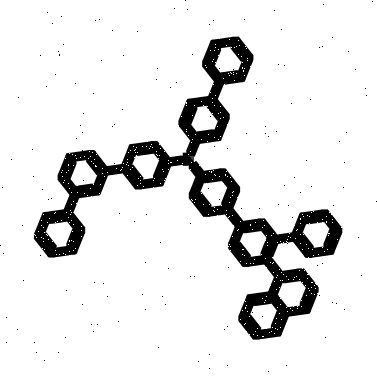 c1ccc(-c2ccc(N(c3ccc(-c4cccc(-c5ccccc5)c4)cc3)c3ccc(-c4ccc(-c5cccc6ccccc56)c(-c5ccccc5)c4)cc3)cc2)cc1